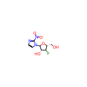 O=[N+]([O-])c1nccn1C1O[C@H](CO)[C@@H](F)[C@@H]1O